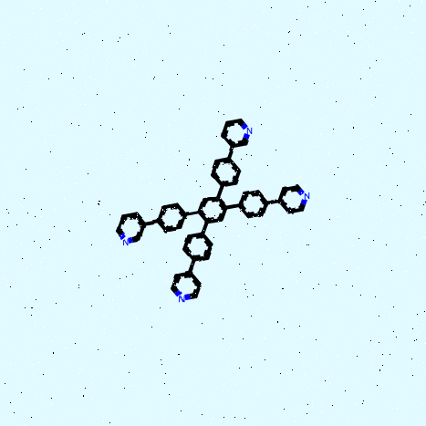 c1cncc(-c2ccc(-c3cc(-c4ccc(-c5cccnc5)cc4)c(-c4ccc(-c5ccncc5)cc4)cc3-c3ccc(-c4ccncc4)cc3)cc2)c1